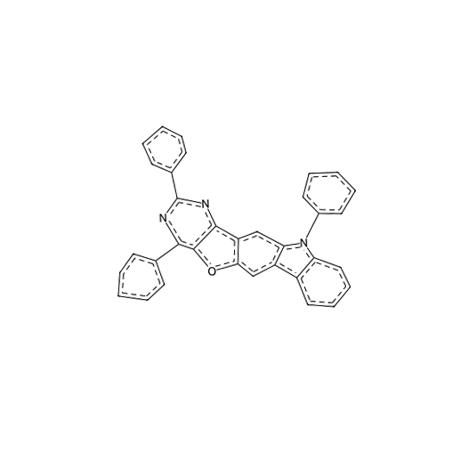 c1ccc(-c2nc(-c3ccccc3)c3oc4cc5c6ccccc6n(-c6ccccc6)c5cc4c3n2)cc1